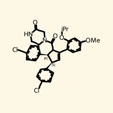 COc1ccc(C2=C[C@@H](c3ccc(Cl)cc3)[C@@H](c3ccc(Cl)cc3)C2C(=O)N2CCNC(=O)C2)c(OC(C)C)c1